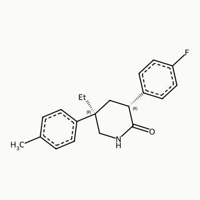 CC[C@@]1(c2ccc(C)cc2)CNC(=O)[C@@H](c2ccc(F)cc2)C1